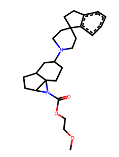 COCCOC(=O)N1C2CCC3CC(N4CCC5(CCc6ccccc65)CC4)CCC321